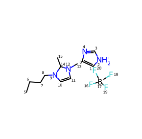 C1=C[NH2+]C=N1.CCCCN1C=CN(C)C1C.F[B-](F)(F)F